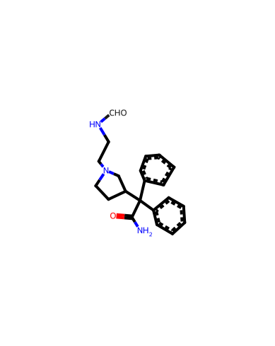 NC(=O)C(c1ccccc1)(c1ccccc1)C1CCN(CCNC=O)C1